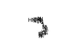 Cn1c(SCCCN2CCC3(CC3c3ccc(C(F)(F)F)cc3F)C2)nnc1C1CCNCC1